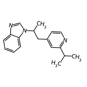 CC(C)c1cc(CC(C)n2cnc3ccccc32)ccn1